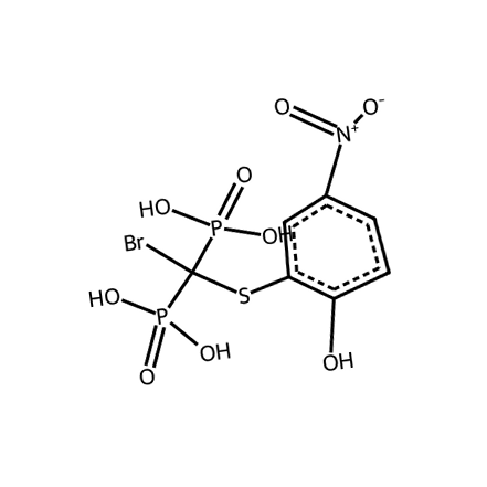 O=[N+]([O-])c1ccc(O)c(SC(Br)(P(=O)(O)O)P(=O)(O)O)c1